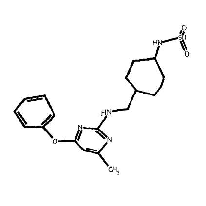 Cc1cc(Oc2ccccc2)nc(NCC2CCC(N[SH](=O)=O)CC2)n1